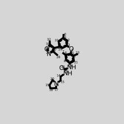 Cc1cc(Oc2c(C)cc(NC(=O)NCCN3CCCC3)cc2C)cc(-c2c(C)noc2C)c1